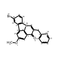 COc1cc2c(=O)c(Cc3ccccn3)cn3c4ccc(Br)cc4c(c1)c23